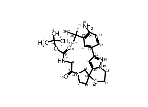 CC(C)(C)OC(=O)NCC(=O)N1CCC2(C1)OCCn1nc(-c3cnc(N)c(C(F)(F)F)c3)cc12